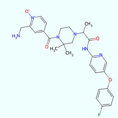 CC(C(=O)Nc1ccc(Oc2ccc(F)cc2)cn1)N1CCN(C(=O)c2cc[n+]([O-])c(CN)c2)C(C)(C)C1